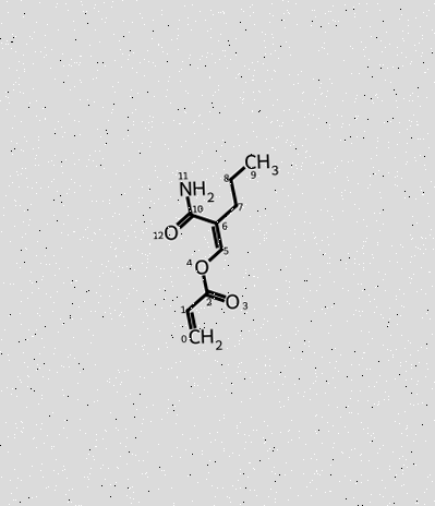 C=CC(=O)OC=C(CCC)C(N)=O